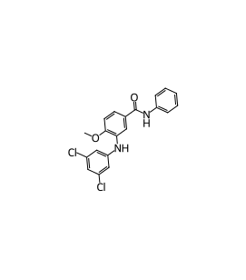 COc1ccc(C(=O)Nc2ccccc2)cc1Nc1cc(Cl)cc(Cl)c1